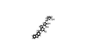 O=P(O)(O)CP(=O)(O)OC[C@H]1O[C@@H](n2cnc3c(Nc4ccc5c(c4)-c4ccccc4C5)nc(Cl)nc32)[C@@H](O)C1O